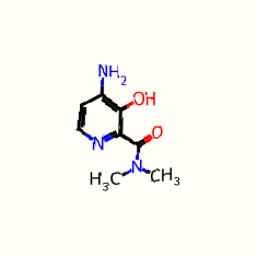 CN(C)C(=O)c1nccc(N)c1O